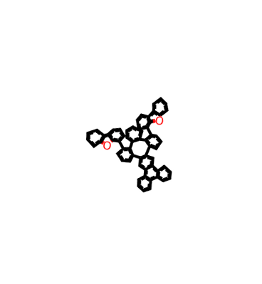 c1ccc2c(c1)-c1c(cccc1-c1cccc3c1oc1ccccc13)-c1cc3c4ccccc4c4ccccc4c3cc1-c1cccc(-c3cccc4c3oc3ccccc34)c1-2